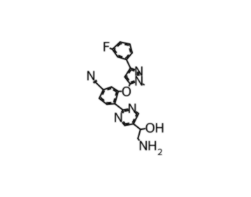 Cn1nc(-c2cccc(F)c2)cc1Oc1cc(C#N)ccc1-c1ncc(C(O)CN)cn1